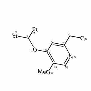 CCC(CC)Oc1cc(CCl)ncc1OC